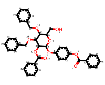 O=C(Oc1ccc(OC2OC(CO)C(OCc3ccccc3)C(OCc3ccccc3)C2OC(=O)c2ccccc2)cc1)c1ccccc1